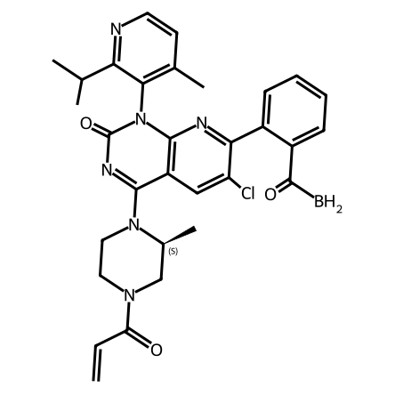 BC(=O)c1ccccc1-c1nc2c(cc1Cl)c(N1CCN(C(=O)C=C)C[C@@H]1C)nc(=O)n2-c1c(C)ccnc1C(C)C